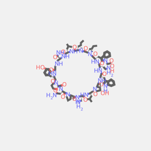 CCCC[C@H]1C(=O)N(C)[C@@H](CCCC)C(=O)N[C@@H](CC(C)C)C(=O)N[C@H](C(N)=O)CNCC(=O)N[C@@H](Cc2ccc(O)cc2)C(=O)N2CCCC[C@@]23C(=O)N3[C@@H](CC(N)=O)C(=O)N2CCC[C@H]2C(=O)N[C@@H](CN)C(=O)N[C@@H](CC(C)C)C(=O)N2C[C@H](O)C[C@H]2C(=O)N[C@@H](Cc2c[nH]c3ccccc23)C(=O)N[C@@H](CCN)C(=O)N[C@@H](Cc2cn(CC(=O)O)c3ccccc23)C(=O)N1C